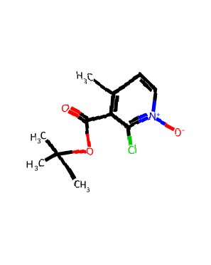 Cc1cc[n+]([O-])c(Cl)c1C(=O)OC(C)(C)C